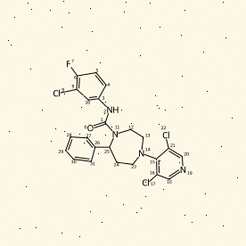 O=C(Nc1ccc(F)c(Cl)c1)N1CCN(c2c(Cl)cncc2Cl)CCC1c1ccccc1